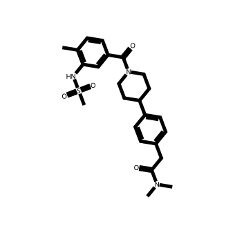 Cc1ccc(C(=O)N2CCC(c3ccc(CC(=O)N(C)C)cc3)CC2)cc1NS(C)(=O)=O